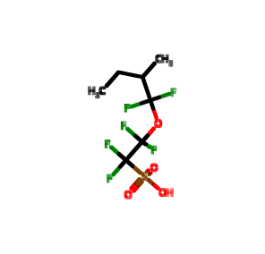 CCC(C)C(F)(F)OC(F)(F)C(F)(F)S(=O)(=O)O